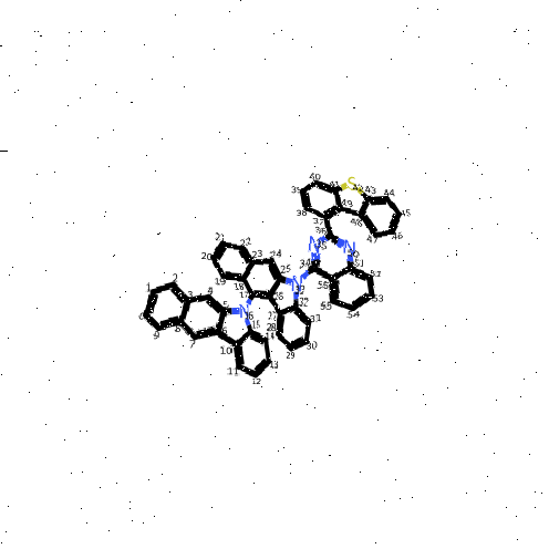 c1ccc2cc3c(cc2c1)c1ccccc1n3-c1c2ccccc2cc2c1c1ccccc1n2-c1nc(-c2cccc3sc4ccccc4c23)nc2ccccc12